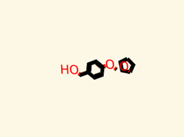 C1CC2CC1O2.COc1ccc(CO)cc1